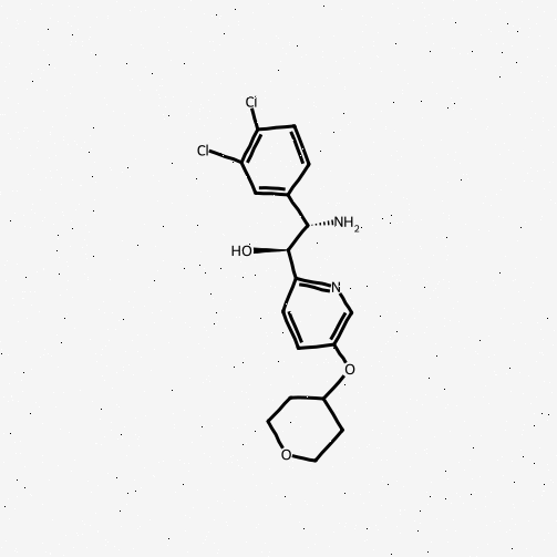 N[C@@H](c1ccc(Cl)c(Cl)c1)[C@H](O)c1ccc(OC2CCOCC2)cn1